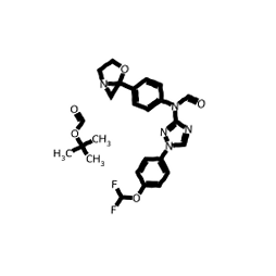 CC(C)(C)OC=O.O=CN(c1ccc(C23CN2CCO3)cc1)c1ncn(-c2ccc(OC(F)F)cc2)n1